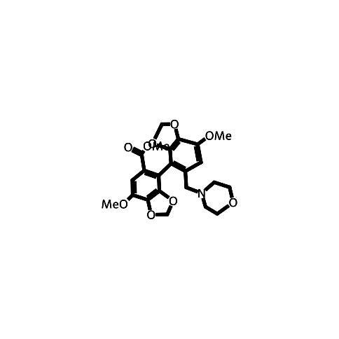 COC(=O)c1cc(OC)c2c(c1-c1c(CN3CCOCC3)cc(OC)c3c1OCO3)OCO2